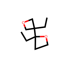 CCC1(C2(CC)CCO2)COC1